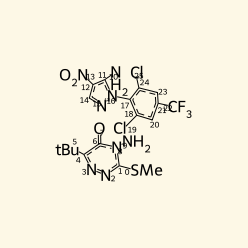 CSc1nnc(C(C)(C)C)c(=O)n1N.Nc1c([N+](=O)[O-])cnn1-c1c(Cl)cc(C(F)(F)F)cc1Cl